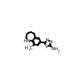 Cc1cc(-c2nnc(N)s2)cc2c1NCCCC2